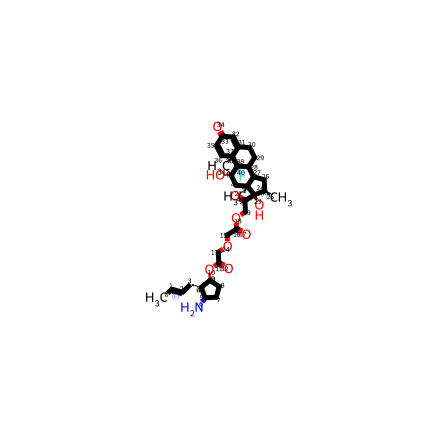 C/C=C/C[C@H]1C(N)CC[C@@H]1OC(=O)COCC(=O)OCC(=O)[C@@]1(O)[C@H](C)CC2C3CCC4=CC(=O)C=C[C@]4(C)[C@@]3(F)[C@@H](O)C[C@@]21C